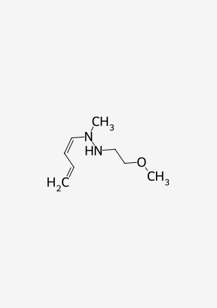 C=C/C=C\N(C)NCCOC